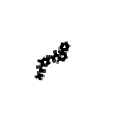 Cc1cc(NC(=O)C(=O)N2[C@H](C)CCC[C@@]2(C)c2ccccc2)cnc1NC(=O)OC(C)(C)C